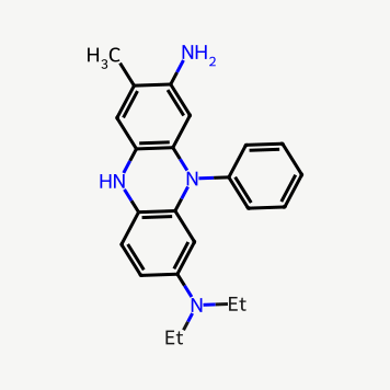 CCN(CC)c1ccc2c(c1)N(c1ccccc1)c1cc(N)c(C)cc1N2